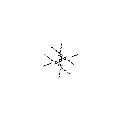 CCCCCCCCCCN(CCCCCCCCCC)c1ccc(N(c2ccc(N(c3ccc(N(CCCCCCCCCC)CCCCCCCCCC)c(C)c3)c3ccc(N(CCCCCCCCCC)CCCCCCCCCC)c(C)c3)cc2)c2ccc(N(CCCCCCCCCC)CCCCCCCCCC)c(C)c2)cc1C